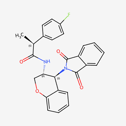 C[C@H](C(=O)N[C@H]1COc2ccccc2[C@@H]1N1C(=O)c2ccccc2C1=O)c1ccc(F)cc1